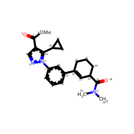 COC(=O)c1cnn(-c2cccc(C3=CC(C(=O)N(C)C)CCC3)c2)c1C1CC1